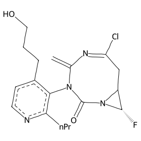 C=C1/N=C(/Cl)CC2[C@H](F)N2C(=O)N1c1c(CCCO)ccnc1CCC